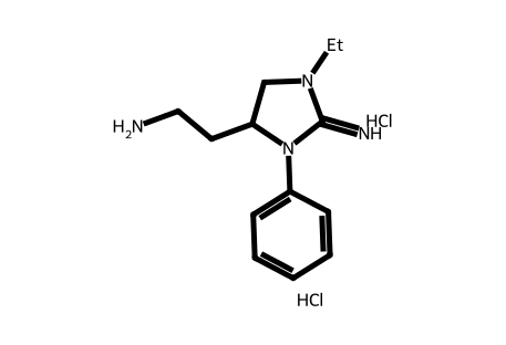 CCN1CC(CCN)N(c2ccccc2)C1=N.Cl.Cl